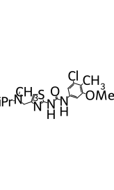 COc1cc(NC(=O)Nc2nc(CN(C)C(C)C)cs2)cc(Cl)c1C